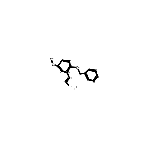 CCOc1ccc(OCc2ccccc2)c(C=CC(=O)O)c1